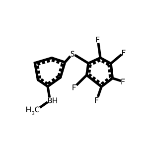 CBc1cccc(Sc2c(F)c(F)c(F)c(F)c2F)c1